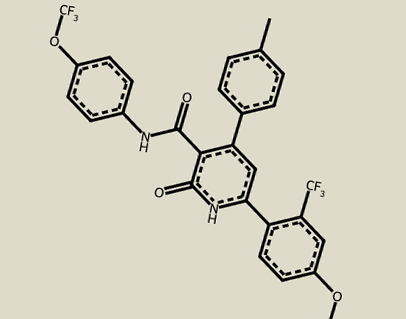 CCCCOc1ccc(-c2cc(-c3ccc(C)cc3)c(C(=O)Nc3ccc(OC(F)(F)F)cc3)c(=O)[nH]2)c(C(F)(F)F)c1